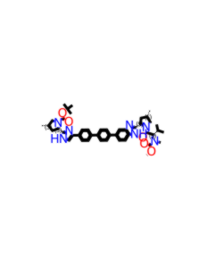 COC(=O)N(C)[C@H](C(=O)N1C[C@@H](C)C[C@H]1c1nc2cc(-c3ccc(-c4ccc(-c5c[nH]c([C@@H]6C[C@H](C)CN6C(=O)OC(C)(C)C)n5)cc4)cc3)ccc2[nH]1)C(C)C